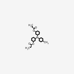 C=CC(=O)Oc1cccc(N(c2ccc(C)cc2)c2cccc(OC(=O)C=C)c2)c1